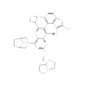 N#Cc1c(-c2c(F)ccc3oc(N)c(F)c23)c(C2COC2)nc2c(N3CC4CCC(C3)N4)nc(OC[C@@]34CCCN3C[C@H](F)C4)nc12